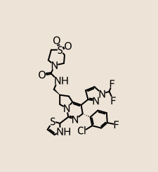 O=C(NC[C@H]1CC2=C(c3ccn(C(F)F)n3)[C@H](c3ccc(F)cc3Cl)N=C(C3NC=CS3)N2C1)N1CCS(=O)(=O)CC1